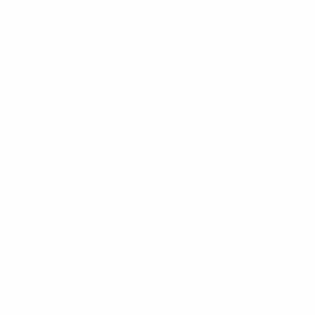 COc1ccc(C(F)F)cc1SCc1ccccc1